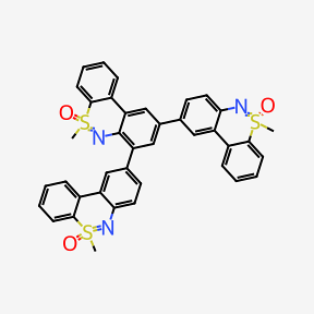 CS1(=O)=Nc2ccc(-c3cc(-c4ccc5c(c4)-c4ccccc4S(C)(=O)=N5)c4c(c3)-c3ccccc3S(C)(=O)=N4)cc2-c2ccccc21